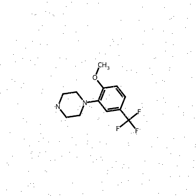 COc1ccc(C(F)(F)F)cc1N1CC[N]CC1